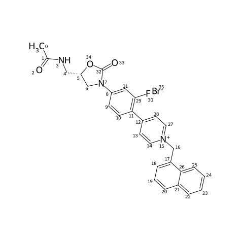 CC(=O)NC[C@H]1CN(c2ccc(-c3cc[n+](Cc4cccc5ccccc45)cc3)c(F)c2)C(=O)O1.[Br-]